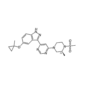 C[C@H]1CN(c2cc(-c3n[nH]c4ccc(OC5(C)CC5)cc34)ncn2)CCN1S(C)(=O)=O